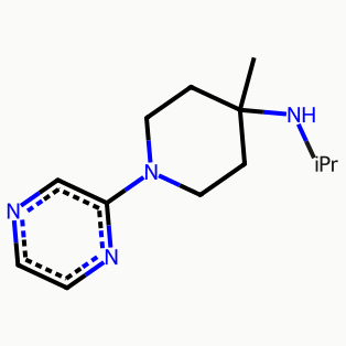 CC(C)NC1(C)CCN(c2cnccn2)CC1